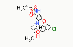 C=CCCS(=O)(=O)NC(=O)c1ccc2c(c1)N(C[C@@H]1CC[C@@]1(C)[C@H](O)CC=C)C[C@@]1(CCCc3cc(Cl)ccc31)CO2